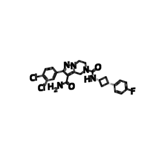 NC(=O)c1c(-c2ccc(Cl)c(Cl)c2)nn2c1CN(C(=O)N[C@H]1C[C@@H](c3ccc(F)cc3)C1)CC2